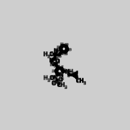 CC1CC1CNc1cc(-c2nnc(C(C)(N)Cc3ccccc3)o2)cc(N(C)S(C)(=O)=O)n1